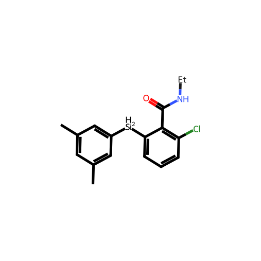 CCNC(=O)c1c(Cl)cccc1[SiH2]c1cc(C)cc(C)c1